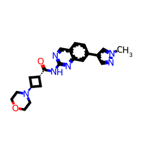 Cn1cc(-c2ccc3cnc(NC(=O)[C@H]4C[C@H](N5CCOCC5)C4)nc3c2)cn1